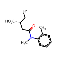 Cc1ccccc1N(C)C(=O)C[C@@H](CC(C)C)C(=O)O